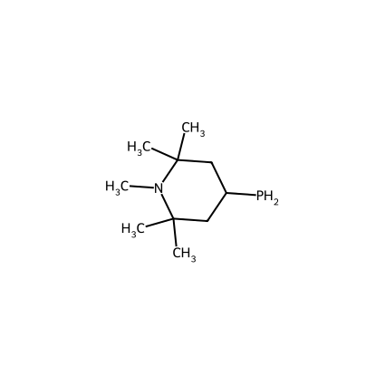 CN1C(C)(C)CC(P)CC1(C)C